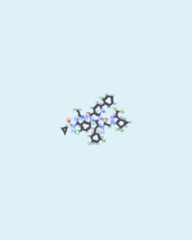 N=C(N[S+]([O-])C1CC1)c1c(Cl)ccc(-n2c(C(Cc3cc(F)cc(F)c3)NC(=O)Cn3nc(C(F)F)c4c3C(F)(F)C3CC43)nc3nc(-c4ccccc4F)ccc3c2=O)c1NCCF